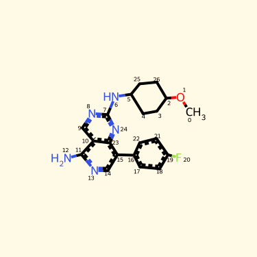 COC1CCC(Nc2ncc3c(N)ncc(-c4ccc(F)cc4)c3n2)CC1